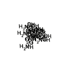 NCC[C@H](O)C(=O)N[C@@H]1C[C@H](N)[C@@H](O[C@H]2O[C@H](CCN)[C@@H](O)[C@@H](O)[C@H]2N)[C@H](O[C@@H]2O[C@H](CO)[C@@H](O[C@H]3O[C@@H](CN)[C@@H](O)[C@H](O)[C@H]3N)[C@H]2O)[C@H]1O